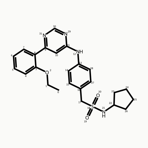 CCOc1ccccc1-c1cc(Nc2ccc(CS(=O)(=O)NC3CCCC3)cc2)ncn1